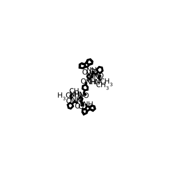 CN[C@@H](C)C(=O)N[C@H](C(=O)N1C[C@@H](NC(=O)C2CCC(C(=O)N[C@H]3C[C@@H](C(=O)NC4c5ccccc5-c5ccccc54)N(C(=O)[C@@H](NC(=O)[C@H](C)NC)C4CCCCC4)C3)CC2)CC1C(=O)NC1c2ccccc2-c2ccccc21)C1CCCCC1